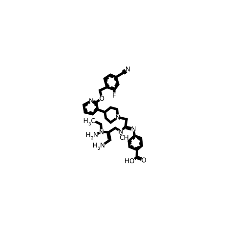 CCN(N)/C(=C\N)CN(C)/C(CN1CCC(c2cccnc2OCc2ccc(C#N)cc2F)CC1)=N\c1ccc(C(=O)O)cc1